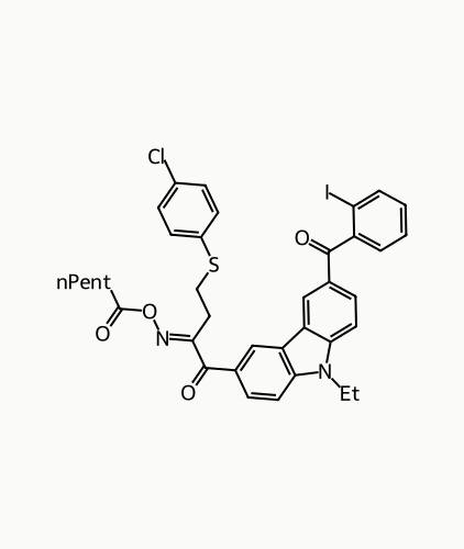 CCCCCC(=O)O/N=C(\CCSc1ccc(Cl)cc1)C(=O)c1ccc2c(c1)c1cc(C(=O)c3ccccc3I)ccc1n2CC